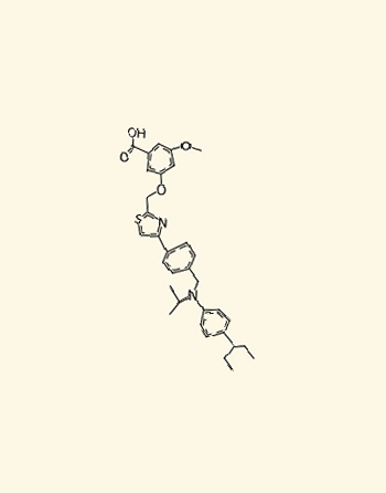 CCC(CC)c1ccc(N(Cc2ccc(-c3csc(COc4cc(OC)cc(C(=O)O)c4)n3)cc2)C(C)C)cc1